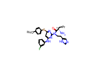 COc1ccc(Sc2cc(Nc3cccc(F)c3)nc(N(CCc3cnc[nH]3)C(=O)[C@@H](N)CC(C)C)n2)cc1